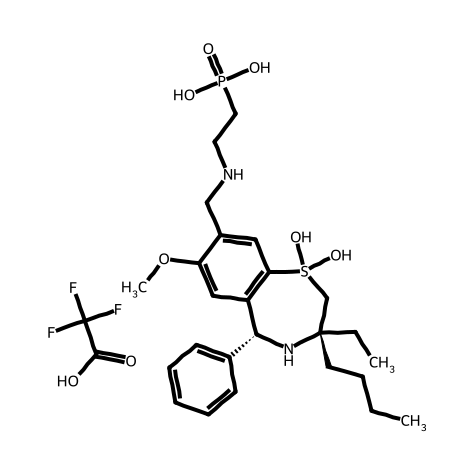 CCCC[C@]1(CC)CS(O)(O)c2cc(CNCCP(=O)(O)O)c(OC)cc2[C@@H](c2ccccc2)N1.O=C(O)C(F)(F)F